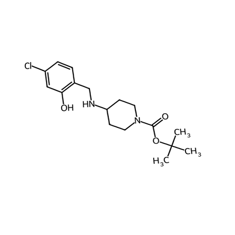 CC(C)(C)OC(=O)N1CCC(NCc2ccc(Cl)cc2O)CC1